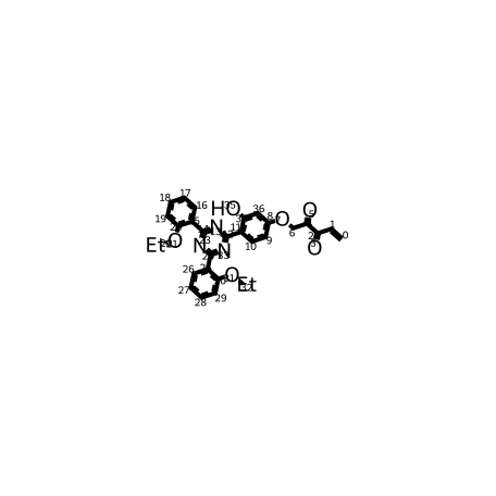 C=CC(=O)C(=O)COc1ccc(-c2nc(-c3ccccc3OCC)nc(-c3ccccc3OCC)n2)c(O)c1